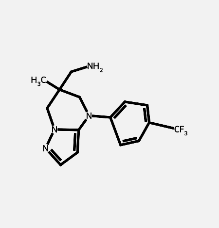 CC1(CN)CN(c2ccc(C(F)(F)F)cc2)c2ccnn2C1